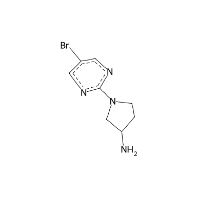 NC1CCN(c2ncc(Br)cn2)C1